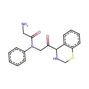 NCC(=O)N(CC(=O)C1NCSc2ccccc21)c1ccccc1